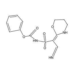 N=C/C(=C1\NCCCO1)S(=O)(=O)NC(=O)Oc1ccccc1